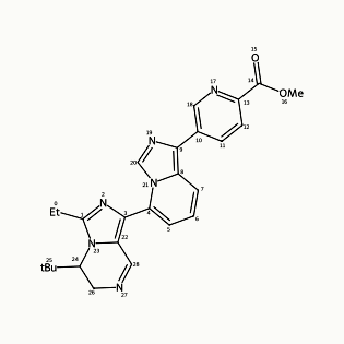 CCc1nc(-c2cccc3c(-c4ccc(C(=O)OC)nc4)ncn23)c2n1C(C(C)(C)C)CN=C2